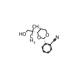 CC(C)(CO)[C@@H]1CCO[C@H](c2ccccc2C#N)O1